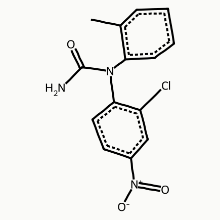 Cc1ccccc1N(C(N)=O)c1ccc([N+](=O)[O-])cc1Cl